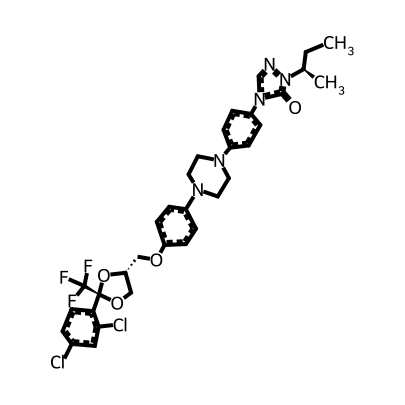 CC[C@@H](C)n1ncn(-c2ccc(N3CCN(c4ccc(OC[C@@H]5CO[C@@](c6ccc(Cl)cc6Cl)(C(F)(F)F)O5)cc4)CC3)cc2)c1=O